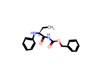 CC[C@H](Nc1ccccc1)C(=O)NC(=O)OCc1ccccc1